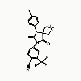 C=C1N(c2ccc(C#N)c(C(F)(F)F)c2)C(=O)C(CCl)(CCl)N1c1ccc(C)cc1